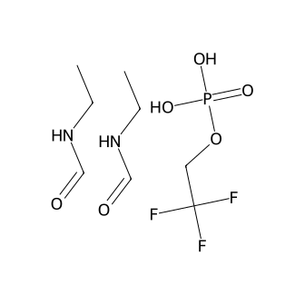 CCNC=O.CCNC=O.O=P(O)(O)OCC(F)(F)F